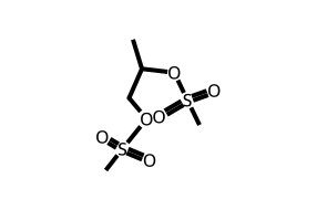 CC(COS(C)(=O)=O)OS(C)(=O)=O